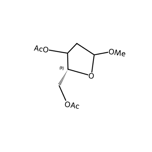 COC1CC(OC(C)=O)[C@@H](COC(C)=O)O1